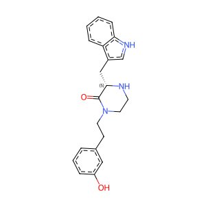 O=C1[C@H](Cc2c[nH]c3ccccc23)NCCN1CCc1cccc(O)c1